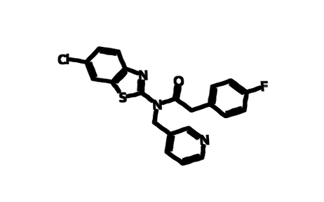 O=C(Cc1ccc(F)cc1)N(Cc1cccnc1)c1nc2ccc(Cl)cc2s1